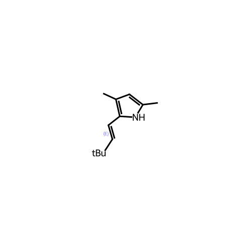 Cc1cc(C)c(/C=C/C(C)(C)C)[nH]1